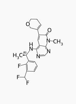 C[C@@H](Nc1ncnc2c1cc(C1=CCCOC1)c(=O)n2C)c1cccc(C(F)F)c1F